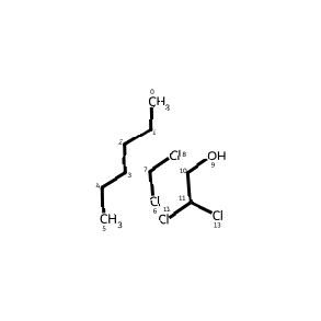 CCCCCC.ClCCl.OCC(Cl)Cl